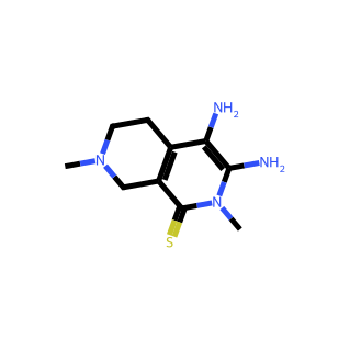 CN1CCc2c(N)c(N)n(C)c(=S)c2C1